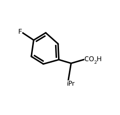 CC(C)C(C(=O)O)c1ccc(F)cc1